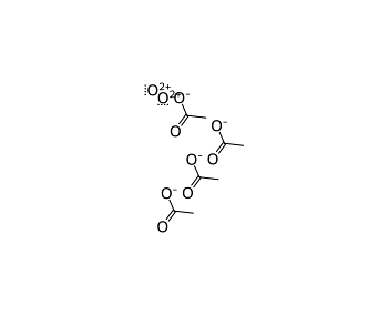 CC(=O)[O-].CC(=O)[O-].CC(=O)[O-].CC(=O)[O-].[O+2].[O+2]